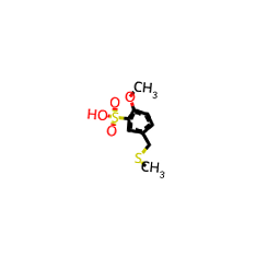 COc1ccc(CSC)cc1S(=O)(=O)O